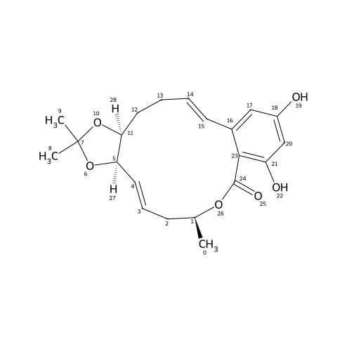 C[C@H]1C/C=C/[C@H]2OC(C)(C)O[C@H]2CC/C=C/c2cc(O)cc(O)c2C(=O)O1